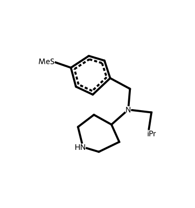 CSc1ccc(CN(CC(C)C)C2CCNCC2)cc1